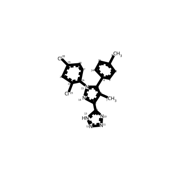 Cc1ccc(-c2c(C)c(-c3nnn[nH]3)nn2-c2ccc(Cl)cc2Cl)cc1